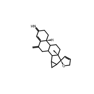 C=C1CC2C(CC[C@@]3(C)C2C2CC2[C@@]32C=CCO2)[C@H]2CCC(=N)C=C12